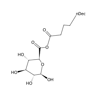 CCCCCCCCCCCCCC(=O)OC(=O)[C@H]1O[C@@H](O)[C@H](O)[C@@H](O)[C@@H]1O